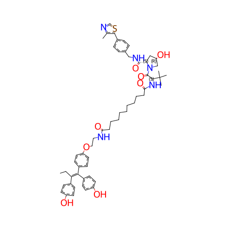 CCC(=C(c1ccc(O)cc1)c1ccc(OCCNC(=O)CCCCCCCCCC(=O)N[C@H](C(=O)N2C[C@H](O)C[C@H]2C(=O)NCc2ccc(-c3scnc3C)cc2)C(C)(C)C)cc1)c1ccc(O)cc1